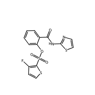 O=C(Nc1nccs1)c1ccccc1OS(=O)(=O)c1sccc1F